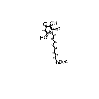 CCCCCCCCCCCCCCCCC=Cn1c(O)cc(=O)c(O)c1CC